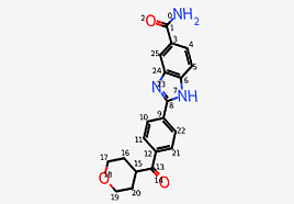 NC(=O)c1ccc2[nH]c(-c3ccc(C(=O)C4CCOCC4)cc3)nc2c1